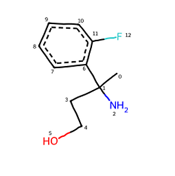 CC(N)(CCO)c1ccccc1F